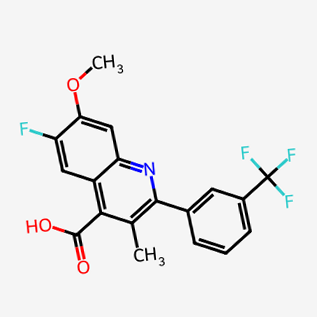 COc1cc2nc(-c3cccc(C(F)(F)F)c3)c(C)c(C(=O)O)c2cc1F